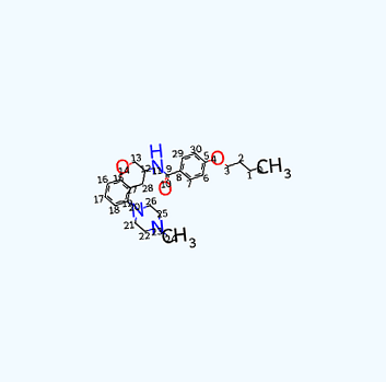 CCCCOc1ccc(C(=O)NC2COc3cccc(N4CCN(C)CC4)c3C2)cc1